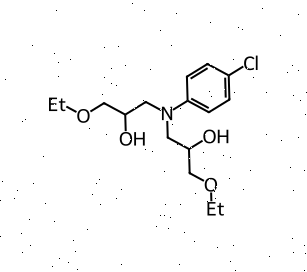 CCOCC(O)CN(CC(O)COCC)c1ccc(Cl)cc1